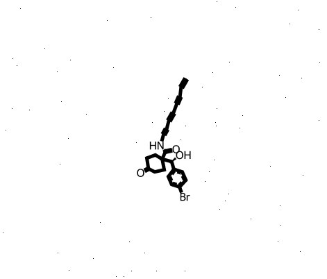 C#CC#CC#CC#CNC(=O)C1([C@@H](O)c2ccc(Br)cc2)CCC(=O)CC1